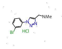 CNCc1cn(-c2cccc(Br)c2)nn1.Cl